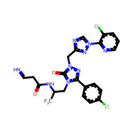 N=CCC(=O)NC(Cn1c(-c2ccc(Cl)cc2)nn(Cc2ncn(-c3ncccc3Cl)n2)c1=O)C(F)(F)F